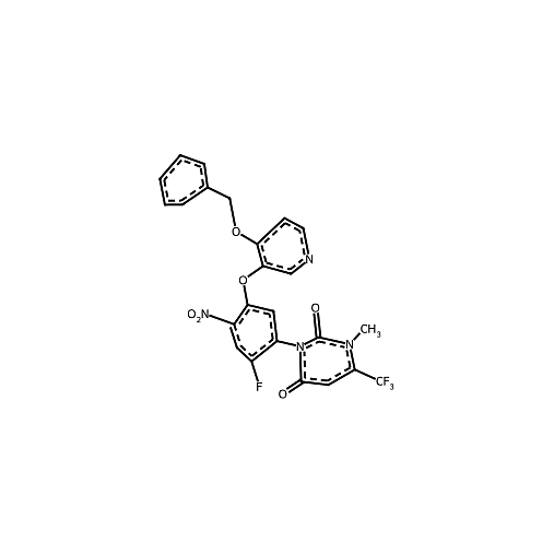 Cn1c(C(F)(F)F)cc(=O)n(-c2cc(Oc3cnccc3OCc3ccccc3)c([N+](=O)[O-])cc2F)c1=O